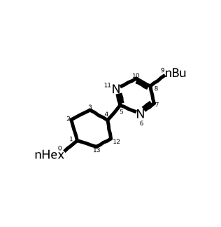 CCCCCCC1CCC(c2ncc(CCCC)cn2)CC1